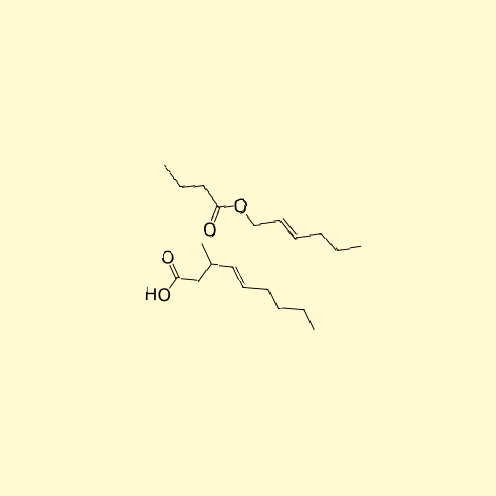 CCC/C=C/COC(=O)CCC.CCCC/C=C/C(C)CC(=O)O